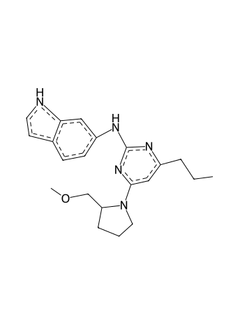 CCCc1cc(N2CCCC2COC)nc(Nc2ccc3cc[nH]c3c2)n1